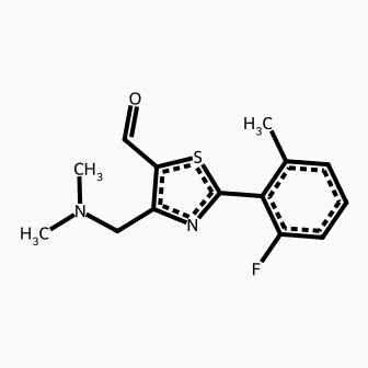 Cc1cccc(F)c1-c1nc(CN(C)C)c(C=O)s1